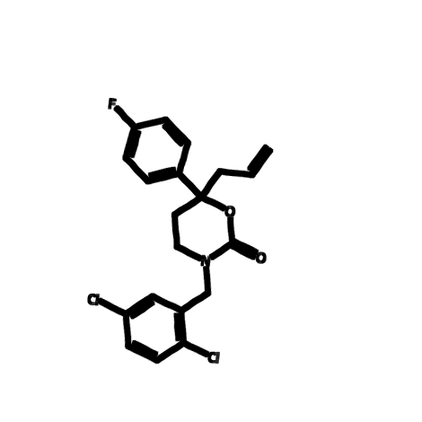 C=CCC1(c2ccc(F)cc2)CCN(Cc2cc(Cl)ccc2Cl)C(=O)O1